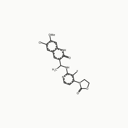 COc1cc2[nH]c(=O)c(C(C)Nc3nccc(N4CCOC4=O)c3F)cc2cc1Cl